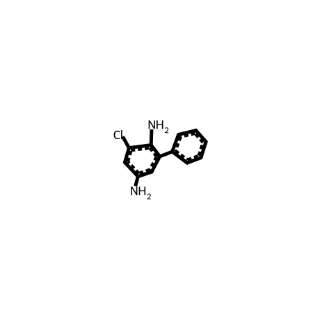 Nc1cc(Cl)c(N)c(-c2ccccc2)c1